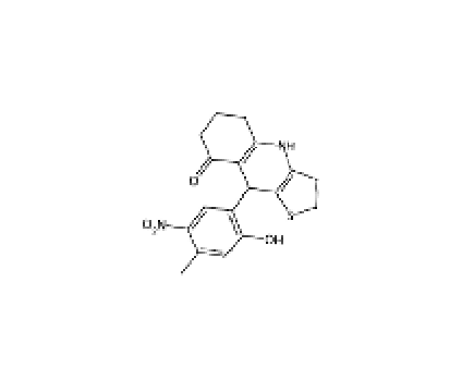 Cc1cc(O)c(C2C3=C(CCS3)NC3=C2C(=O)CCC3)cc1[N+](=O)[O-]